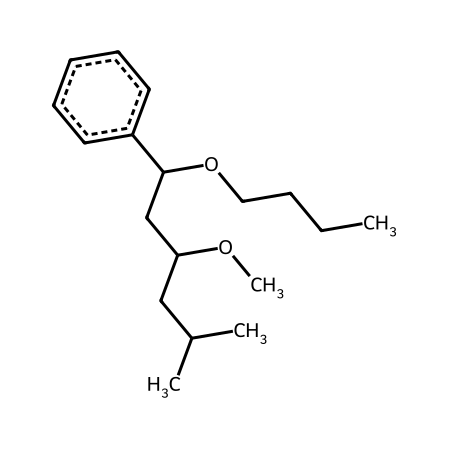 CCCCOC(CC(CC(C)C)OC)c1ccccc1